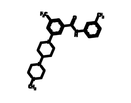 CN1CCN(C2CCN(c3cc(C(=O)Nc4cccc(C(F)(F)F)c4)cc(C(F)(F)F)c3)CC2)CC1